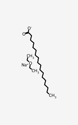 CCCCCCCCCCCCCCCCCC(=O)[O-].CCOCC.[Na+]